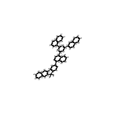 CC1(C)c2ccc(-c3ccc(-c4cc(-c5ccc6ccccc6c5)nc(-c5cccc6ccccc56)n4)c4ccccc34)cc2-c2cc3ccccc3cc21